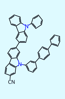 N#Cc1ccc2c3ccc(-c4ccc5c(c4)c4ccccc4n5-c4ccccc4)cc3n(-c3cccc(-c4ccc(-c5ccccc5)cc4)c3)c2c1